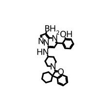 Bc1cnn2c(NC3CCN(C(=O)C4(c5ccccc5)CCCCC4)CC3)cc(-c3ccccc3O)nc12